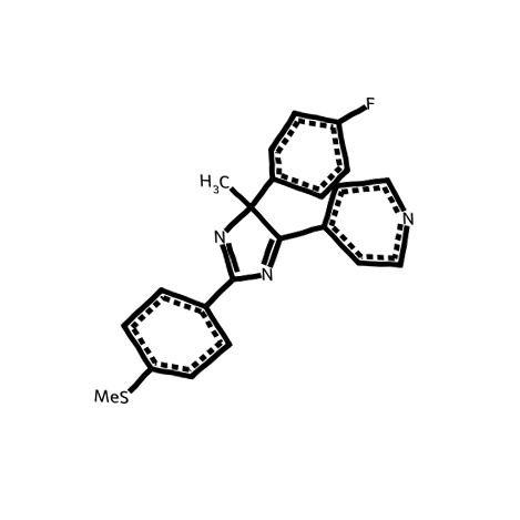 CSc1ccc(C2=NC(C)(c3ccc(F)cc3)C(c3ccncc3)=N2)cc1